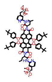 CCCC(C(=O)Nc1cc(C[Si](OC)(OC)OC)ccn1)N1C(=O)c2cc(Oc3ccc(C(C)(C)C)cc3)c3c4c(Oc5ccc(C(C)(C)C)cc5)cc5c6c(cc(Oc7ccc(C(C)(C)C)cc7)c(c7c(Oc8ccc(C(C)(C)C)cc8)cc(c2c37)C1=O)c64)C(=O)N(C(CC(C)C)C(=O)Nc1cc(C[Si](OC)(OC)OC)ccn1)C5=O